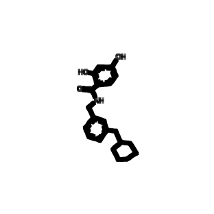 O=C(NCc1cccc(CC2CCCCC2)c1)c1ccc(O)cc1O